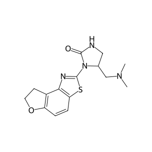 CN(C)CC1CNC(=O)N1c1nc2c3c(ccc2s1)OCC3